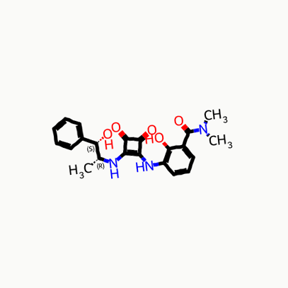 C[C@@H](Nc1c(Nc2cccc(C(=O)N(C)C)c2O)c(=O)c1=O)[C@@H](O)c1ccccc1